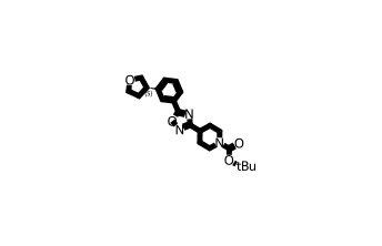 CC(C)(C)OC(=O)N1CCC(c2noc(-c3cccc([C@@H]4CCOC4)c3)n2)CC1